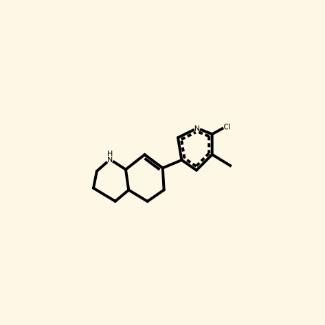 Cc1cc(C2=CC3NCCCC3CC2)cnc1Cl